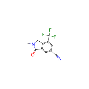 CN1Cc2c(cc(C#N)cc2C(F)(F)F)C1=O